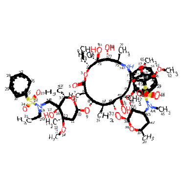 CC[C@H]1OC(=O)[C@H](C)[C@@H](O[C@H]2C[C@@](C)(OC)[C@](O)(CN(CC)S(=O)(=O)c3ccccc3)[C@H](C)O2)[C@H](C)[C@@H](O[C@@H]2O[C@H](C)C[C@H](N(C)S(=O)(=O)c3ccccc3)[C@H]2Oc2ccc(OC)c(OC)c2)[C@](C)(O)C[C@@H](C)CN[C@H](C)[C@@H](O)[C@]1(C)O